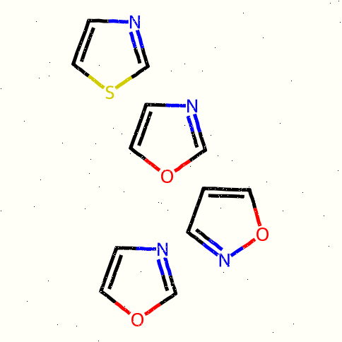 c1cnoc1.c1cocn1.c1cocn1.c1cscn1